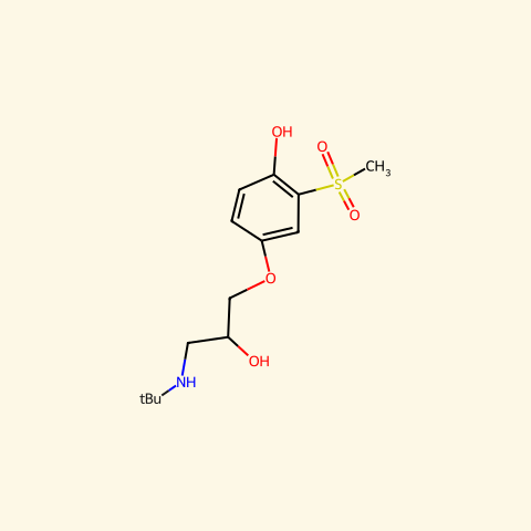 CC(C)(C)NCC(O)COc1ccc(O)c(S(C)(=O)=O)c1